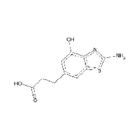 Nc1nc2c(O)cc(CCC(=O)O)cc2s1